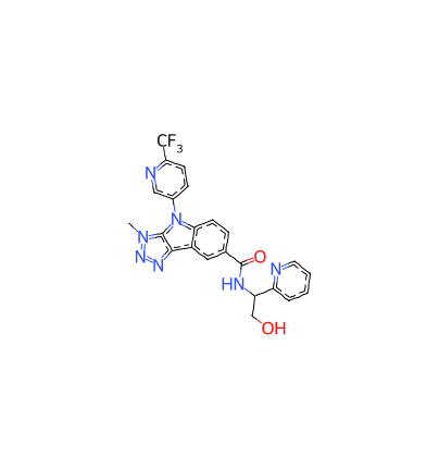 Cn1nnc2c3cc(C(=O)NC(CO)c4ccccn4)ccc3n(-c3ccc(C(F)(F)F)nc3)c21